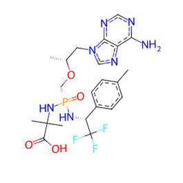 Cc1ccc([C@@H](N[P@@](=O)(CO[C@H](C)Cn2cnc3c(N)ncnc32)NC(C)(C)C(=O)O)C(F)(F)F)cc1